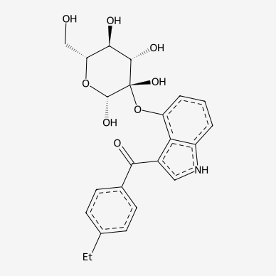 CCc1ccc(C(=O)c2c[nH]c3cccc(O[C@]4(O)[C@H](O)O[C@H](CO)[C@@H](O)[C@@H]4O)c23)cc1